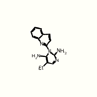 CCC1=C(N)N(c2ccc3ccccc3n2)C(N)N=C1